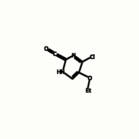 CCOC1=CNC(=C=O)N=C1Cl